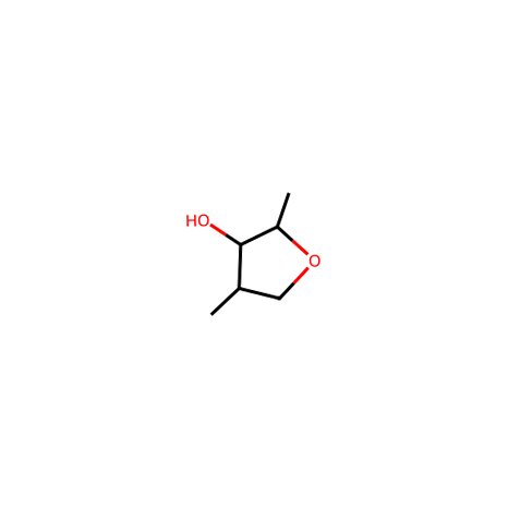 CC1COC(C)C1O